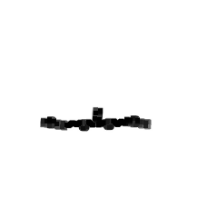 CCCCCCCCCCCCCCOCCNCCOCCCCCCCCCCCCCC